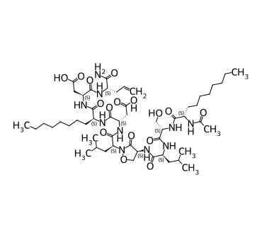 C=CC[C@H](NC(=O)[C@H](CC(=O)O)NC(=O)[C@H](CCCCCCCC)NC(=O)[C@H](CC(=O)O)NC(=O)[C@H](CC(C)C)N1OC[C@H](NC(=O)[C@H](CC(C)C)NC(=O)[C@H](CO)NC(=O)[C@H](CCCCCCCC)NC(C)=O)C1=O)C(N)=O